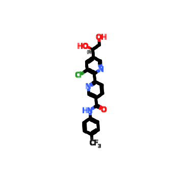 O=C(Nc1ccc(C(F)(F)F)cc1)c1ccc(-c2ncc([C@@H](O)CO)cc2Cl)nc1